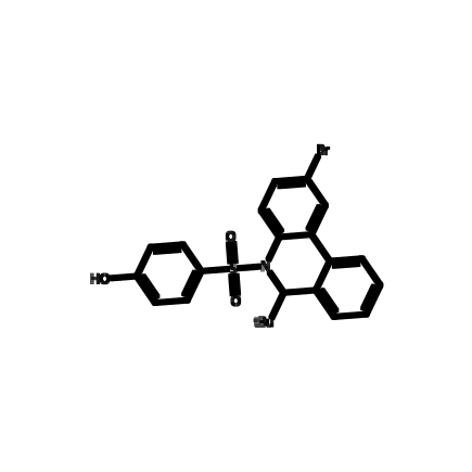 CC(C)(C)C1c2ccccc2-c2cc(Br)ccc2N1S(=O)(=O)c1ccc(O)cc1